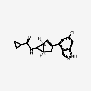 O=C(NC1[C@H]2C=C(c3cc(Cl)cc4[nH]ncc34)C[C@@H]12)C1CC1